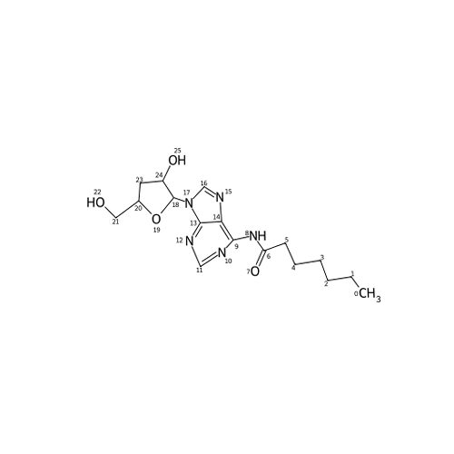 CCCCCCC(=O)Nc1ncnc2c1ncn2C1OC(CO)CC1O